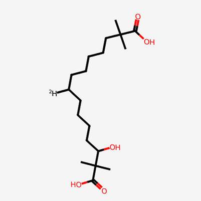 [2H]C(CCCCCC(C)(C)C(=O)O)CCCCC(O)C(C)(C)C(=O)O